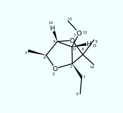 CC[C@]12O[C@@H](C)[C@H](OC1(C)C)[C@@H]2OC